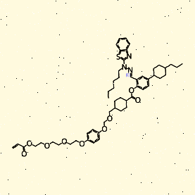 C=CC(=O)OCCOCCOCCOc1ccc(OCOCC2CCC(C(=O)Oc3ccc(C4CCC(CCC)CC4)cc3/C=N/N(CCCCCC)c3nc4ccccc4s3)CC2)cc1